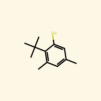 Cc1cc(C)c(C(C)(C)C)c(S)c1